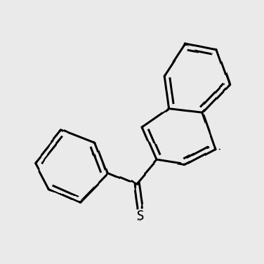 S=C(c1ccccc1)c1c[c]c2ccccc2c1